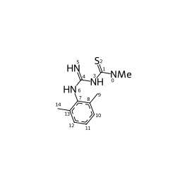 CNC(=S)NC(=N)Nc1c(C)cccc1C